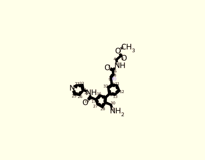 COC(=O)CNC(=O)/C=C/c1cccc(-c2cc(C(=O)Nc3ccncc3)ccc2CN)c1